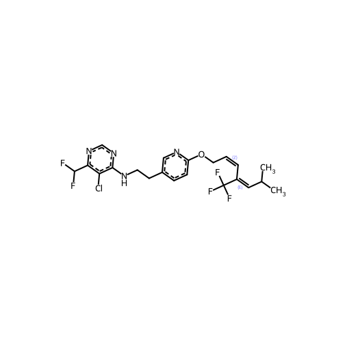 CC(C)/C=C(\C=C/COc1ccc(CCNc2ncnc(C(F)F)c2Cl)cn1)C(F)(F)F